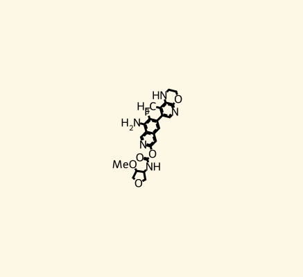 COC1COCC1NC(=O)Oc1cc2cc(-c3cnc4c(c3C)NCCO4)c(F)c(N)c2cn1